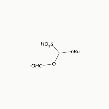 CCCCC(O[C]=O)S(=O)(=O)O